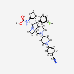 COC(=O)N[C@H]1CCC[C@@H]1C(CN1CCC1)(c1cccc(F)c1)C1CCN(C2CCN(c3ccc(C#N)cc3)CC2)CC1